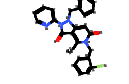 Cc1c2c(=O)n(-c3ccccn3)n(Cc3ccccc3)c2cc(=O)n1Cc1ccccc1F